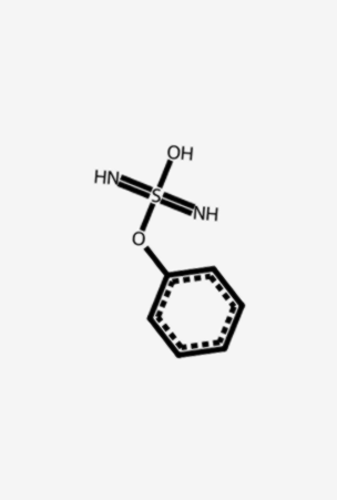 N=S(=N)(O)Oc1ccccc1